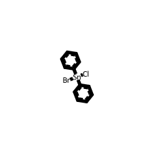 [Cl][Sn]([Br])([c]1ccccc1)[c]1ccccc1